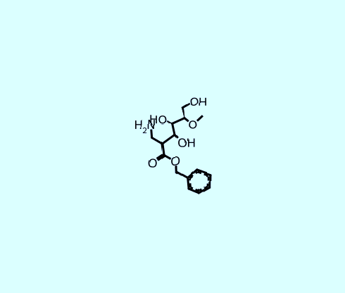 CO[C@H](CO)[C@H](O)C(O)C(CN)C(=O)OCc1ccccc1